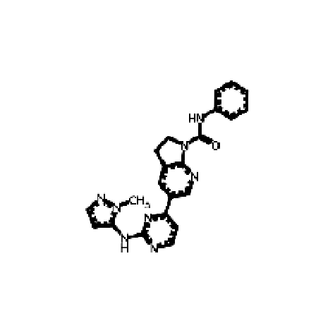 Cn1nccc1Nc1nccc(-c2cnc3c(c2)CCN3C(=O)Nc2ccccc2)n1